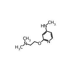 CNc1ccnc(OCCN(C)C)c1